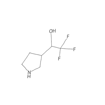 OC(C1CCNC1)C(F)(F)F